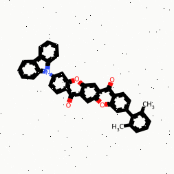 Cc1cccc(C)c1-c1ccc2c(=O)c3cc4oc5cc(-n6c7ccccc7c7ccccc76)ccc5c(=O)c4cc3oc2c1